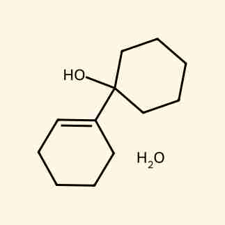 O.OC1(C2=CCCCC2)CCCCC1